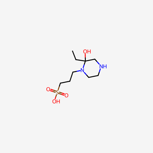 CCC1(O)CNCCN1CCCS(=O)(=O)O